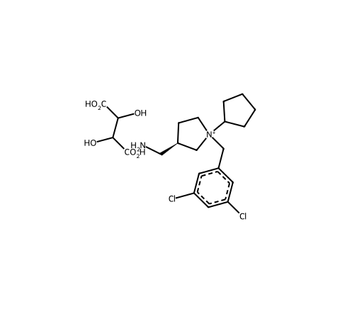 NC[C@H]1CC[N+](Cc2cc(Cl)cc(Cl)c2)(C2CCCC2)C1.O=C(O)C(O)C(O)C(=O)O